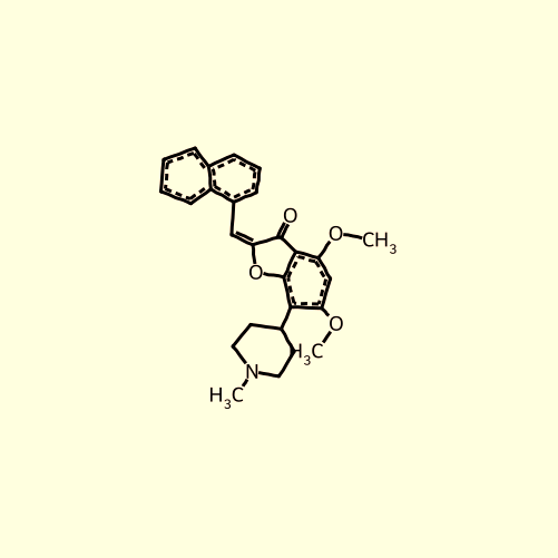 COc1cc(OC)c(C2CCN(C)CC2)c2c1C(=O)/C(=C\c1cccc3ccccc13)O2